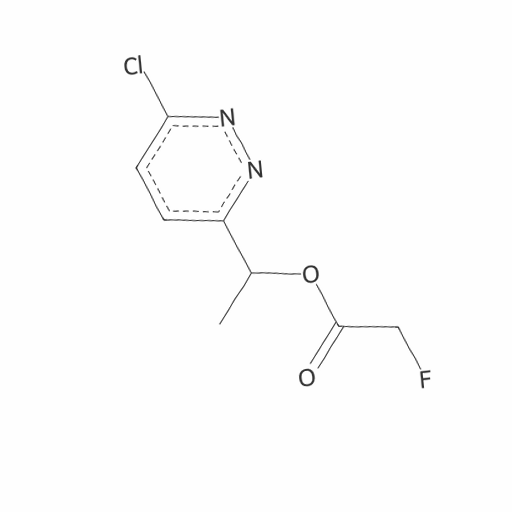 CC(OC(=O)CF)c1ccc(Cl)nn1